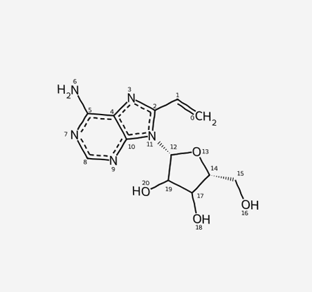 C=Cc1nc2c(N)ncnc2n1[C@@H]1O[C@H](CO)C(O)C1O